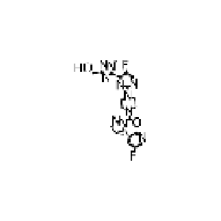 Cn1nc(CO)nc1-c1nc(N2CCN(C(=O)N3N=CC[C@H]3c3cncc(F)c3)CC2)ncc1F